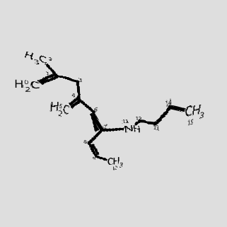 C=C(C)CC(=C)/C=C(\C=C/C)NCCCC